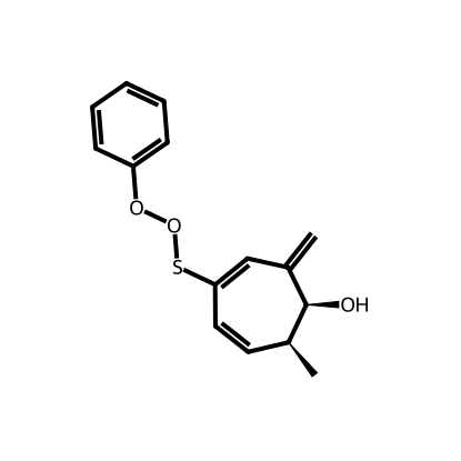 C=C1C=C(SOOc2ccccc2)C=C[C@H](C)[C@@H]1O